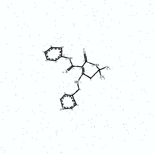 CC1(C)CC(NCc2ccncc2)=C(C(=S)Nc2ccccc2)C(=O)N1